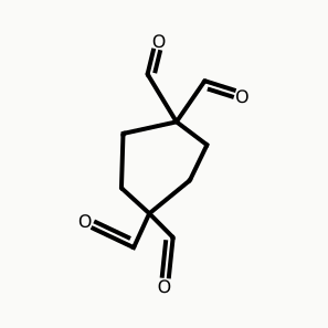 O=CC1(C=O)CCC(C=O)(C=O)CC1